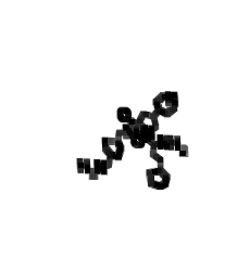 NCc1ccc(CNC(=O)C2CC(c3ccncc3)CN2C(=O)C(N)CCc2ccccc2)cc1